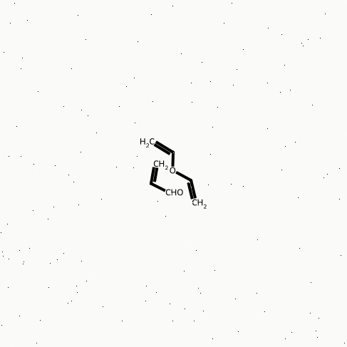 C=CC=O.C=COC=C